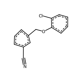 N#Cc1cccc(COc2ccccc2Cl)c1